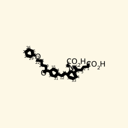 O=C(O)CCCc1cn(CC(=O)O)c2c(C=Cc3ccc(C(=O)CCCCOc4ccccc4)cc3)cccc12